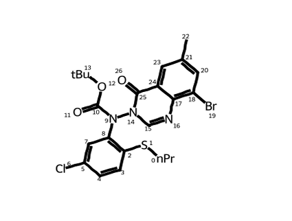 CCCSc1ccc(Cl)cc1N(C(=O)OC(C)(C)C)n1cnc2c(Br)cc(C)cc2c1=O